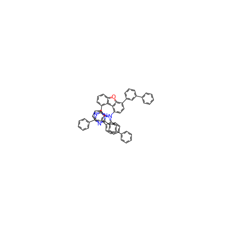 c1ccc(-c2cccc(-c3ccc(-n4c5ccccc5c5ccc(-c6ccccc6)cc54)c4c3oc3cccc(-c5nc(-c6ccccc6)nc(-c6ccccc6)n5)c34)c2)cc1